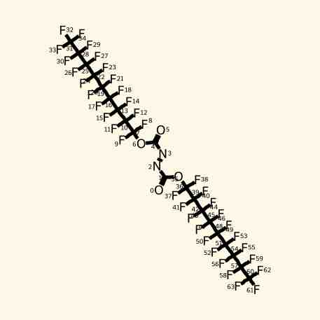 O=C(N=NC(=O)OC(F)(F)C(F)(F)C(F)(F)C(F)(F)C(F)(F)C(F)(F)C(F)(F)C(F)(F)C(F)(F)F)OC(F)(F)C(F)(F)C(F)(F)C(F)(F)C(F)(F)C(F)(F)C(F)(F)C(F)(F)C(F)(F)F